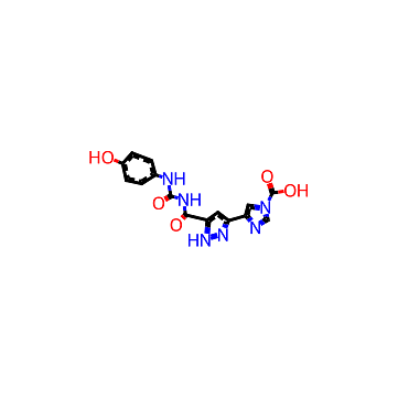 O=C(NC(=O)c1cc(-c2cn(C(=O)O)cn2)n[nH]1)Nc1ccc(O)cc1